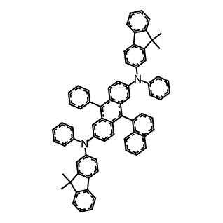 CC1(C)c2ccccc2-c2ccc(N(c3ccccc3)c3ccc4c(-c5cccc6ccccc56)c5cc(N(c6ccccc6)c6ccc7c(c6)C(C)(C)c6ccccc6-7)ccc5c(-c5ccccc5)c4c3)cc21